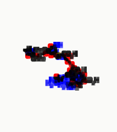 C=C1CC(C=N)N(C(=O)c2cc(OC)c(OCCCCCOc3cc4c(cc3OC)C(=O)N3CC(=C)C[C@H]3C=N4)cc2NC(=O)OCC(C)SSC[C@H](NC(O)CCOCCOCCOCCOCCNC(=O)[C@H](CC(=O)O)NC(=O)[C@H](CC(=O)O)NC(=O)[C@H](CCCNC(=N)N)NC(=O)[C@H](CC(=O)O)NC(=O)CC[C@H](NC(=O)c2ccc(NCc3cnc4nc(N)[nH]c(=O)c4n3)cc2)C(=O)O)C(=O)O)C1